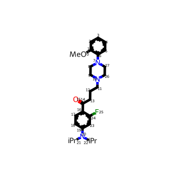 COc1ccccc1N1CCN(CCCC(=O)c2ccc(N(C(C)C)C(C)C)cc2F)CC1